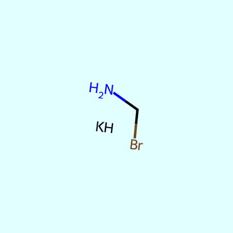 NCBr.[KH]